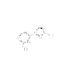 Cc1ccn(-c2ccnc(C)n2)n1